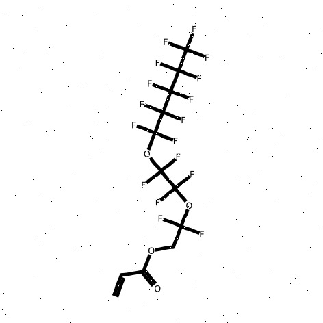 C=CC(=O)OCC(F)(F)OC(F)(F)C(F)(F)OC(F)(F)C(F)(F)C(F)(F)C(F)(F)C(F)(F)F